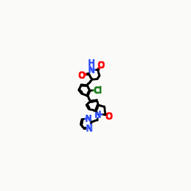 O=C1CCC(c2cccc(-c3ccc4c(c3)CC(=O)N4Cc3ncccn3)c2Cl)C(=O)N1